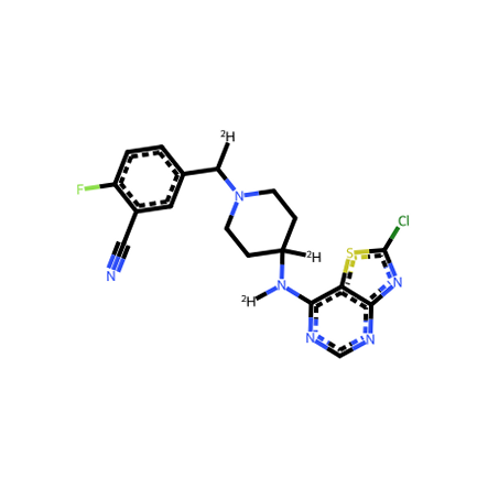 [2H]C(c1ccc(F)c(C#N)c1)N1CCC([2H])(N([2H])c2ncnc3nc(Cl)sc23)CC1